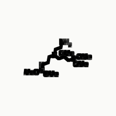 CO[SiH](CCCN(CCN)CCC[Si](OC)(OC)OC)OC